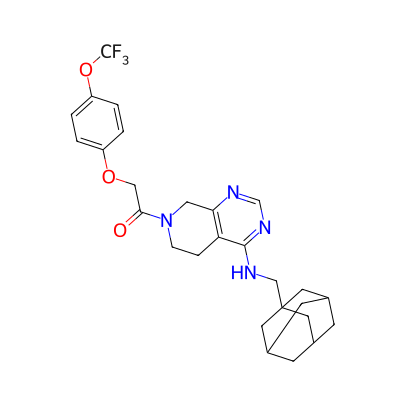 O=C(COc1ccc(OC(F)(F)F)cc1)N1CCc2c(ncnc2NCC23CC4CC(CC(C4)C2)C3)C1